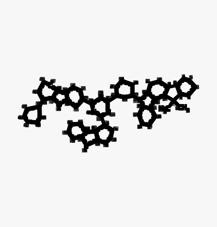 CC1(C)c2ccccc2-c2ccc3c(c21)c1ccccc1n3-c1cccc(-c2nc(-c3ccc4c(c3)oc3c(-c5ccccc5)cccc34)nc(-c3cccc4sc5ccccc5c34)n2)c1